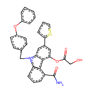 NC(=O)c1cccc2c1c1c(OC(=O)CO)cc(-c3cccs3)cc1n2Cc1ccc(Oc2ccccc2)cc1